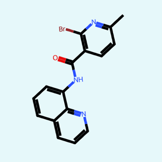 Cc1ccc(C(=O)Nc2cccc3cccnc23)c(Br)n1